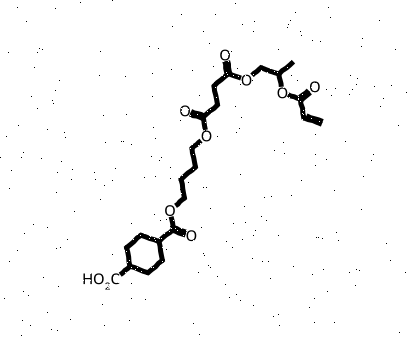 C=CC(=O)OC(C)COC(=O)CCC(=O)OCCCCOC(=O)C1CCC(C(=O)O)CC1